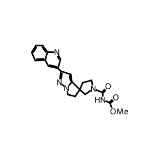 COC(=O)NC(=O)N1CCC2(CCn3nc(-c4cnc5ccccc5c4)cc32)C1